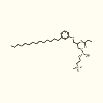 CCCCCCCCCCCCCCc1cccc(OCC(COP(O)OCC[N+](C)(C)C)OC(=O)CC)c1